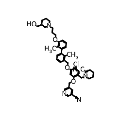 Cc1c(COc2cc(OCc3cncc(C#N)c3)c(CN3CCCC[C@H]3C)cc2Cl)cccc1-c1cccc(OCCCN2CCCC(CO)C2)c1C